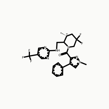 C[C@@H]1CC(F)(F)CN(C(=O)c2nn(C)cc2-c2ccccc2)C1CNc1ncc(C(F)(F)F)cn1